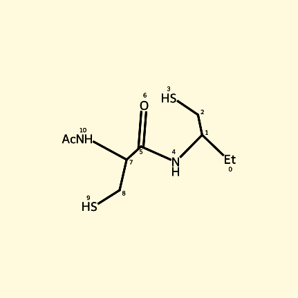 CCC(CS)NC(=O)C(CS)NC(C)=O